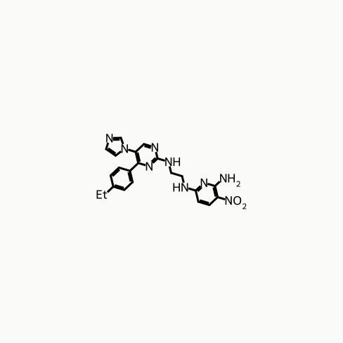 CCc1ccc(-c2nc(NCCNc3ccc([N+](=O)[O-])c(N)n3)ncc2-n2ccnc2)cc1